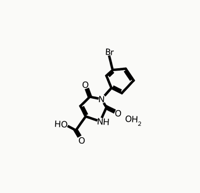 O.O=C(O)c1cc(=O)n(-c2cccc(Br)c2)c(=O)[nH]1